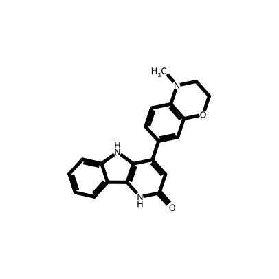 CN1CCOc2cc(-c3cc(=O)[nH]c4c3[nH]c3ccccc34)ccc21